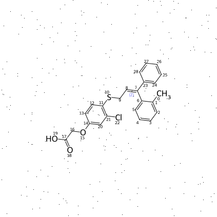 Cc1ccccc1/C(=C\CSc1ccc(OCC(=O)O)cc1Cl)c1ccccc1